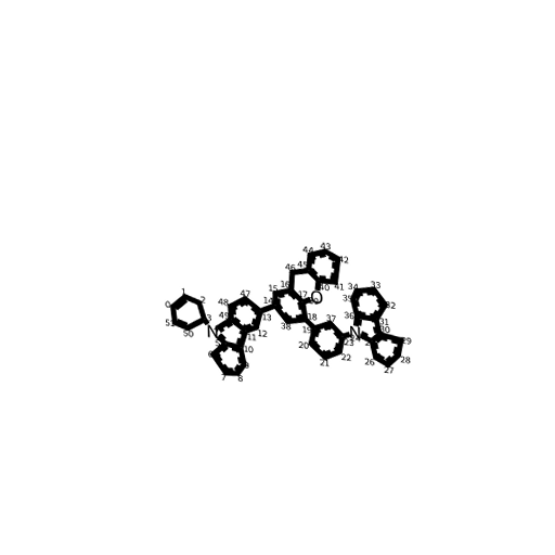 C1=CCC(n2c3ccccc3c3cc(-c4cc5c(c(-c6cccc(-n7c8ccccc8c8ccccc87)c6)c4)Oc4ccccc4C5)ccc32)C=C1